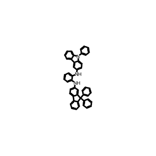 c1ccc(-n2c3ccccc3c3cc(Nc4ccccc4Nc4ccc5c(c4)C(c4ccccc4)(c4ccccc4)c4ccccc4-5)ccc32)cc1